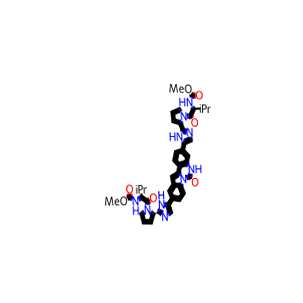 COC(=O)N[C@H](C(=O)N1CCCC1c1ncc(-c2ccc3c(c2)[nH]c(=O)n2c4ccc(-c5cnc([C@@H]6CCCN6C(=O)[C@@H](NC(=O)OC)C(C)C)[nH]5)cc4cc32)[nH]1)C(C)C